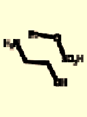 CCOS(=O)(=O)O.NCCO